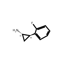 N[C@H]1C[C@@H]1c1ccccc1F